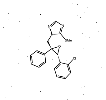 CSc1ncnn1C[C@@]1(c2ccccc2)O[C@@H]1c1ccccc1Cl